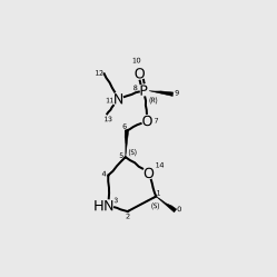 C[C@H]1CNC[C@@H](CO[P@@](C)(=O)N(C)C)O1